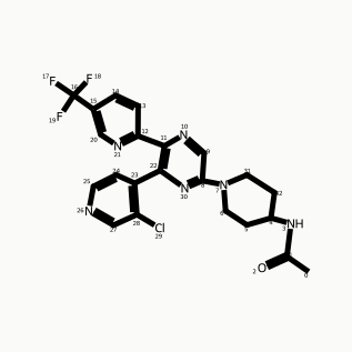 CC(=O)NC1CCN(c2cnc(-c3ccc(C(F)(F)F)cn3)c(-c3ccncc3Cl)n2)CC1